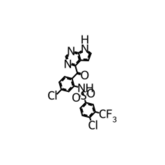 O=C(c1ccc(Cl)cc1NS(=O)(=O)c1ccc(Cl)c(C(F)(F)F)c1)c1ncnc2[nH]ccc12